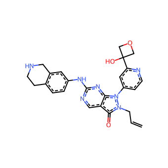 C=CCn1c(=O)c2cnc(Nc3ccc4c(c3)CNCC4)nc2n1-c1ccnc(C2(O)COC2)c1